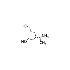 CN(C)C(CCO)CCCO